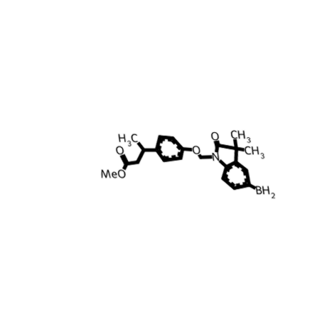 Bc1ccc2c(c1)C(C)(C)C(=O)N2COc1ccc(C(C)CC(=O)OC)cc1